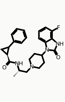 C[C@@H](CN1CCC(n2c(=O)[nH]c3c(F)cccc32)CC1)NC(=O)[C@H]1CC1c1ccccc1